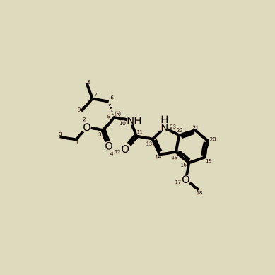 CCOC(=O)[C@H](CC(C)C)NC(=O)c1cc2c(OC)cccc2[nH]1